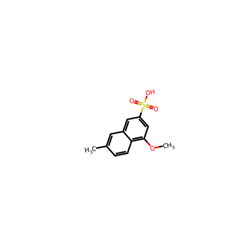 COc1cc(S(=O)(=O)O)cc2cc(C)ccc12